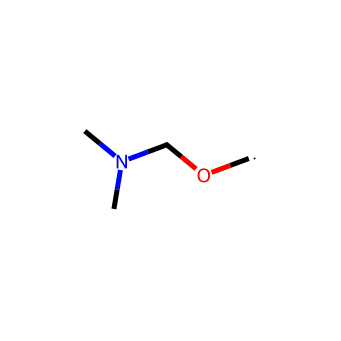 [CH2]OCN(C)C